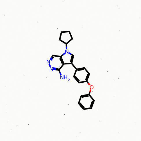 Nc1nncc2c1c(-c1ccc(Oc3ccccc3)cc1)cn2C1CCCC1